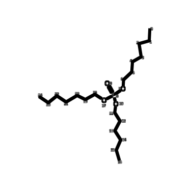 CCCCCCCOP(=O)(OCCCCCC)OCCCCCCC